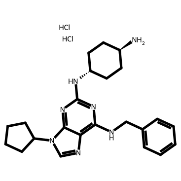 Cl.Cl.N[C@H]1CC[C@H](Nc2nc(NCc3ccccc3)c3ncn(C4CCCC4)c3n2)CC1